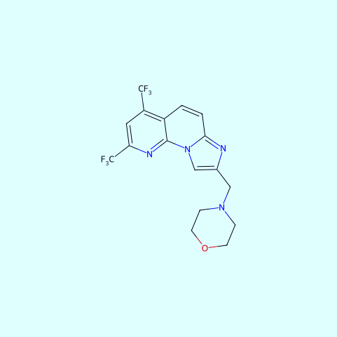 FC(F)(F)c1cc(C(F)(F)F)c2ccc3nc(CN4CCOCC4)cn3c2n1